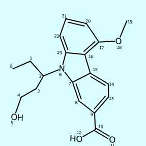 CCC(CCO)n1c2cc(C(=O)O)ccc2c2c(OC)cccc21